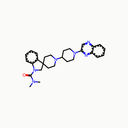 CN(C)C(=O)N1CC2(CCN(C3CCN(c4cnc5ccccc5n4)CC3)CC2)c2ccccc21